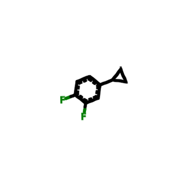 Fc1ccc(C2[CH]C2)cc1F